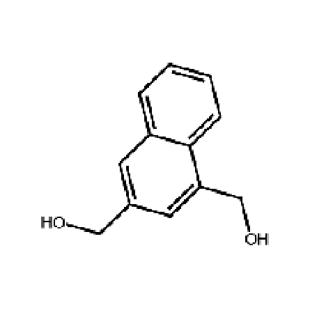 OCc1cc(CO)c2ccccc2c1